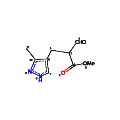 COC(=O)C(C=O)Cc1c[nH]nc1C